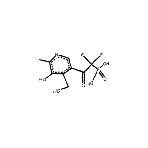 Cc1ncc(C(=O)C(F)(F)P(=O)(O)O)c(CO)c1O